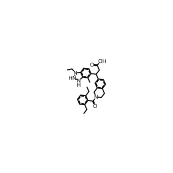 CCc1cccc(CC)c1C(=O)N1CCc2ccc(C(CC(=O)O)c3ccc4c(c3C)NNN4CC)cc2C1